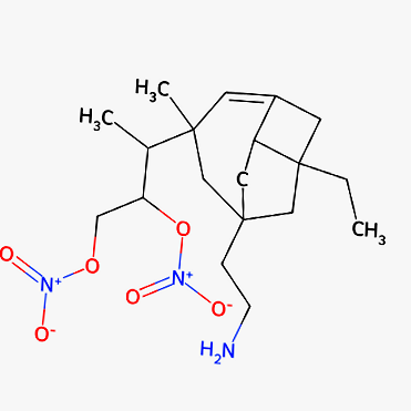 CCC12CC3=CC(C)(C(C)C(CO[N+](=O)[O-])O[N+](=O)[O-])CC(CCN)(CC31)C2